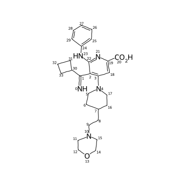 N=C(c1c(N2CCC(CCN3CCOCC3)CC2)cc(C(=O)O)nc1Nc1ccccc1)C1CCC1